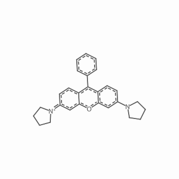 c1ccc(-c2c3ccc(=[N+]4CCCC4)cc-3oc3cc(N4CCCC4)ccc23)cc1